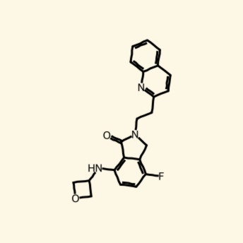 O=C1c2c(NC3COC3)ccc(F)c2CN1CCc1ccc2ccccc2n1